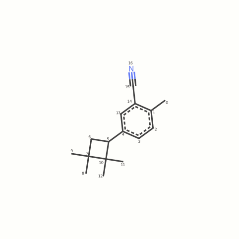 Cc1ccc(C2CC(C)(C)C2(C)C)cc1C#N